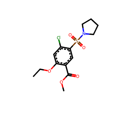 CCOc1cc(Cl)c(S(=O)(=O)N2CCCC2)cc1C(=O)OC